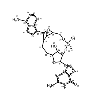 Nc1nc2c(ncn2C2OC3CCC4C(O)C(COP(=O)(S)OC2C3O)OC4n2cnc3c(N)ncnc32)c(=O)[nH]1